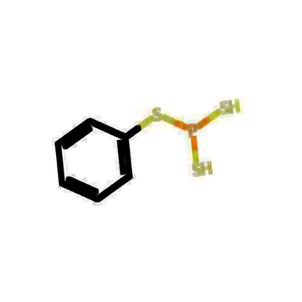 SP(S)Sc1ccccc1